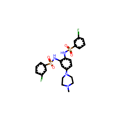 CN1CCN(c2ccc(NS(=O)(=O)c3cccc(F)c3)c(NS(=O)(=O)c3cccc(F)c3)c2)CC1